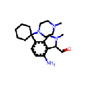 CN1CCN(C2(c3ccc(N)c4c3CN(C)C4C=O)CCCCC2)CC1